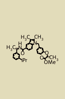 COC(=O)[C@@H](C)Oc1cccc(Cn2c(C)c(C)c3cc(C(=O)N[C@@H](C)c4cccc(C(C)C)c4)ccc32)c1